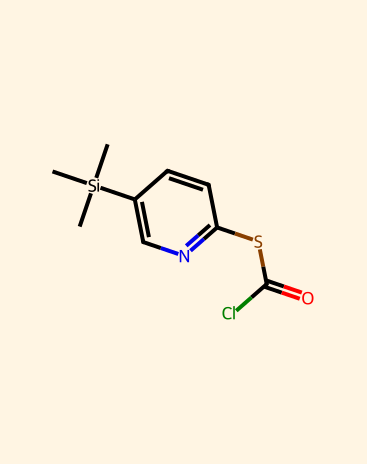 C[Si](C)(C)c1ccc(SC(=O)Cl)nc1